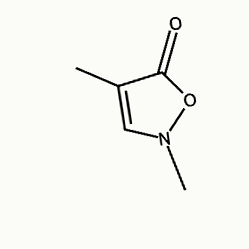 Cc1cn(C)oc1=O